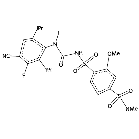 CNS(=O)(=O)c1ccc(S(=O)(=O)NC(=O)N(I)c2c(C(C)C)cc(C#N)c(F)c2C(C)C)c(OC)c1